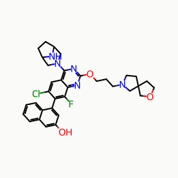 Oc1cc(-c2c(Cl)cc3c(N4CC5CCC(C4)N5)nc(OCCCN4CCC5(CCOC5)C4)nc3c2F)c2ccccc2c1